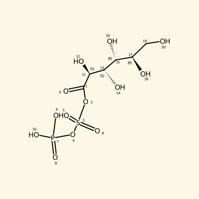 O=C(OS(=O)(=O)OP(=O)(O)O)[C@@H](O)[C@@H](O)[C@H](O)[C@H](O)CO